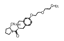 CCOCCOCCOc1ccc2c(c1)CN[C@H](C(=O)N1CCC[C@H]1C#N)C2